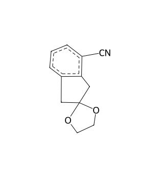 N#Cc1cccc2c1CC1(C2)OCCO1